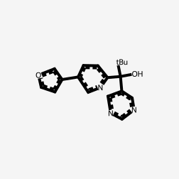 CC(C)(C)C(O)(c1cncnc1)c1ccc(-c2ccoc2)cn1